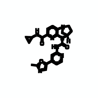 Cc1ncc(-c2ccnc(NC(=O)N3c4nc(C(=O)NC5CC5)ccc4N4CC[C@H]3C4)c2)o1